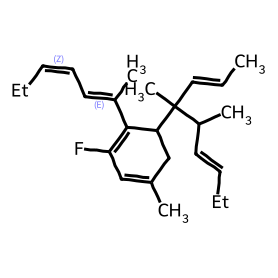 CC=CC(C)(C(C)C=CCC)C1CC(C)=CC(F)=C1/C(C)=C/C=C\CC